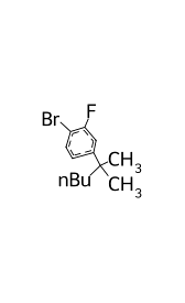 CCCCC(C)(C)c1ccc(Br)c(F)c1